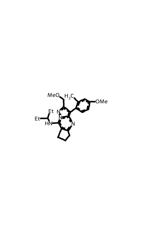 CCC(CC)Nc1c2c(nc3c(-c4ccc(OC)cc4C)c(COC)nn13)CCC2